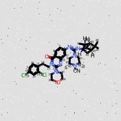 C[C@H]1[C@@H](NC(=Nc2ccc3c(=O)n(CCc4ccc(Cl)cc4Cl)c(N4CCOCC4)nc3c2)N2C[C@@H](C)N(C#N)[C@@H](C)C2)C[C@H]2C[C@H]1C2(C)C